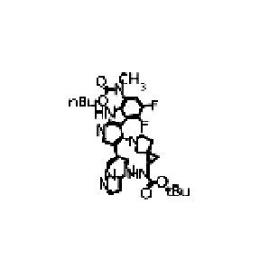 CCCCOC(=O)N(C)c1cc(F)c(F)c2c1[nH]c1ncc(-c3cnc4ccnn4c3)c(N3CCC4(CC4NC(=O)OC(C)(C)C)C3)c12